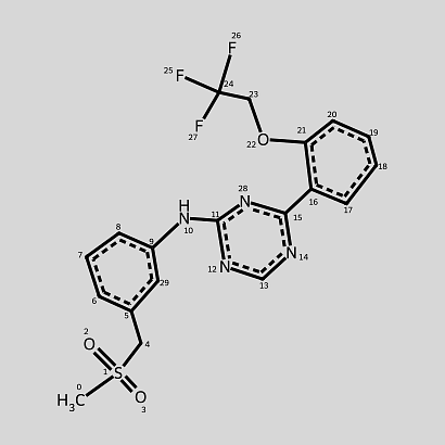 CS(=O)(=O)Cc1cccc(Nc2ncnc(-c3ccccc3OCC(F)(F)F)n2)c1